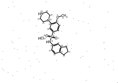 COc1ccc(S(=O)(=O)Nc2ccc3c(c2)CCC3)cc1N1CCNCC1.Cl